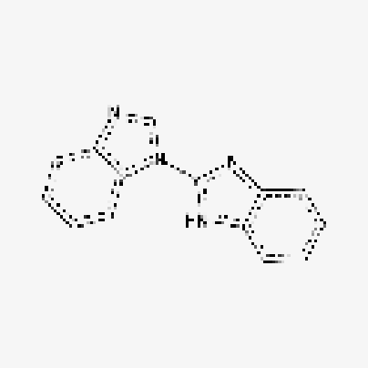 c1ccc2[nH]c(-n3cnc4ccccc43)nc2c1